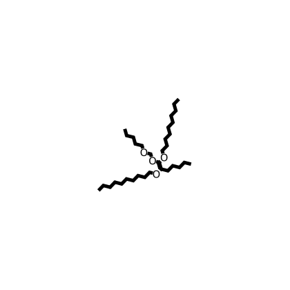 CCCCCCCCCCOC(CCCCC)=C(OCCCCCCCCCC)OCOCCCCC